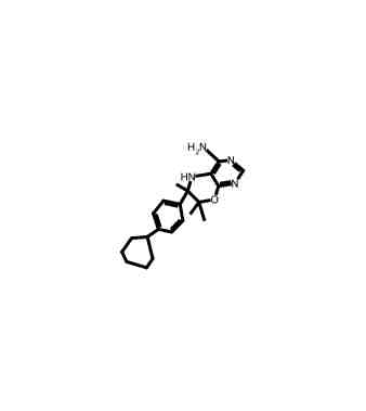 CC1(C)Oc2ncnc(N)c2NC1(C)c1ccc(C2CCCCC2)cc1